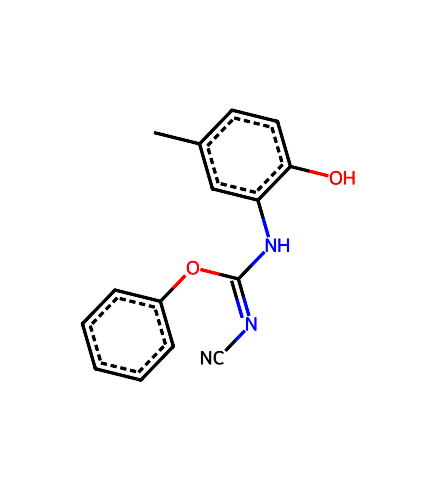 Cc1ccc(O)c(N/C(=N/C#N)Oc2ccccc2)c1